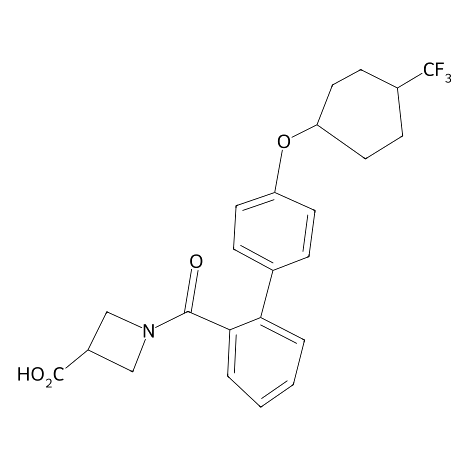 O=C(O)C1CN(C(=O)c2ccccc2-c2ccc(OC3CCC(C(F)(F)F)CC3)cc2)C1